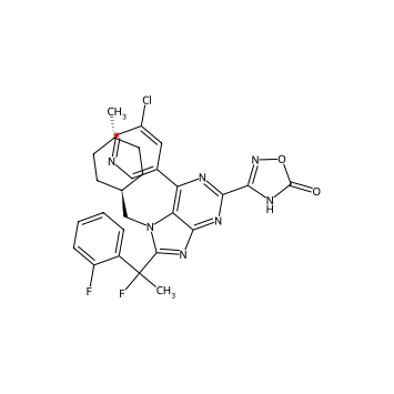 CC(F)(c1ccccc1F)c1nc2nc(-c3noc(=O)[nH]3)nc(-c3cncc(Cl)c3)c2n1C[C@H]1CC[C@H](C)CC1